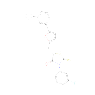 O=C(O)c1cccc(-c2ccc(/C=C3\SC(=S)N(c4cccc(F)c4)C3=O)o2)c1